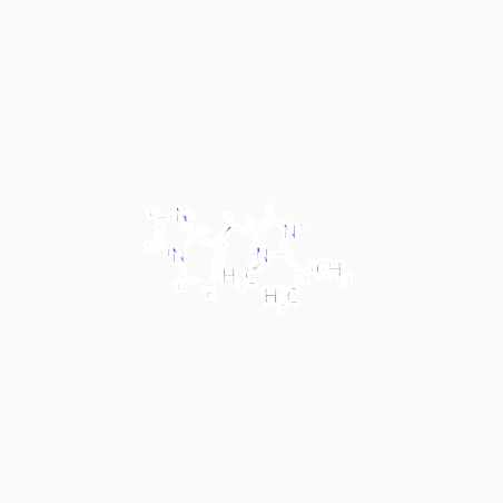 CC(C)c1ncc(C[C@H]2CCCn3ccnc32)n1C